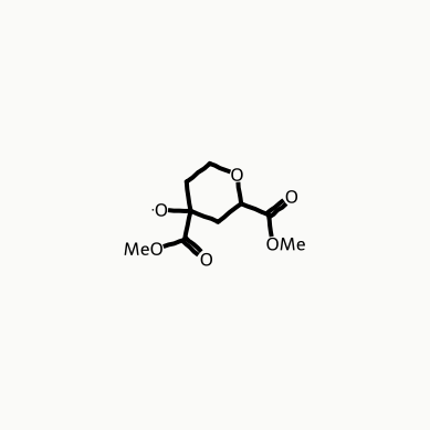 COC(=O)C1CC([O])(C(=O)OC)CCO1